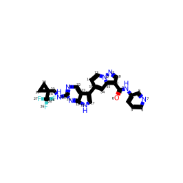 O=C(Nc1cccnc1)c1cnn2ccc(-c3c[nH]c4nc(NCC5(C(F)(F)F)CC5)ncc34)cc12